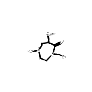 CNC1CN(C)CCN(C(C)C)C1=O